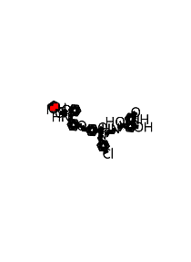 O=C(NC(c1ccccc1)c1cccc(OCc2ccc(C(=O)N(CCCNC[C@@H](O)c3ccc(O)c4[nH]c(=O)ccc34)Cc3ccc(Cl)cc3)cc2)c1)O[C@H]1CN2CCC1CC2